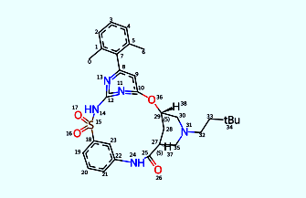 Cc1cccc(C)c1-c1cc2nc(n1)NS(=O)(=O)c1cccc(c1)NC(=O)[C@H]1C[C@@H](CN(CCC(C)(C)C)C1)O2